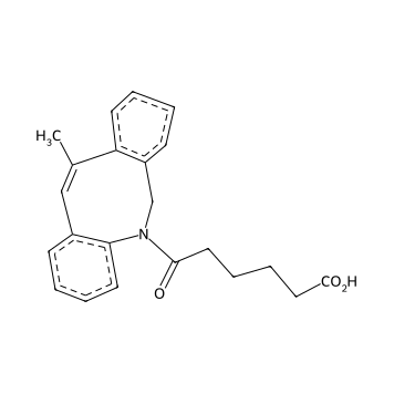 C/C1=C/c2ccccc2N(C(=O)CCCCC(=O)O)Cc2ccccc21